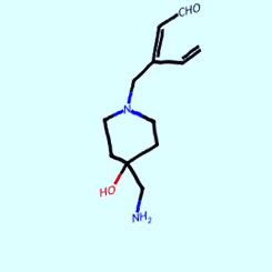 C=C/C(=C\C=O)CN1CCC(O)(CN)CC1